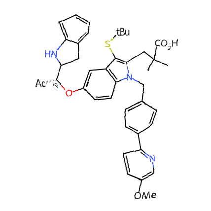 COc1ccc(-c2ccc(Cn3c(CC(C)(C)C(=O)O)c(SC(C)(C)C)c4cc(O[C@H](C(C)=O)C5Cc6ccccc6N5)ccc43)cc2)nc1